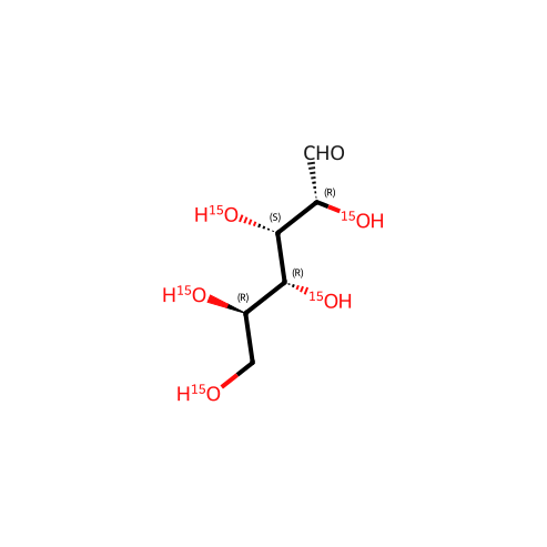 [15O]=C[C@H]([15OH])[C@@H]([15OH])[C@H]([15OH])[C@H]([15OH])C[15OH]